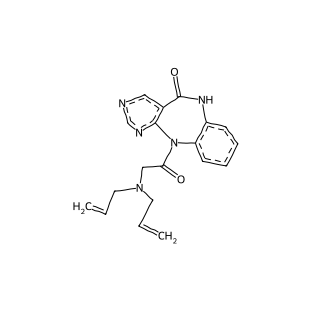 C=CCN(CC=C)CC(=O)N1c2ccccc2NC(=O)c2cncnc21